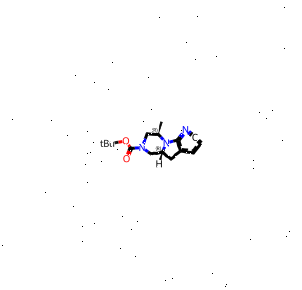 C[C@@H]1CN(C(=O)OC(C)(C)C)C[C@H]2Cc3cccnc3N21